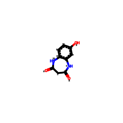 O=C1CC(=O)Nc2cc(O)ccc2N1